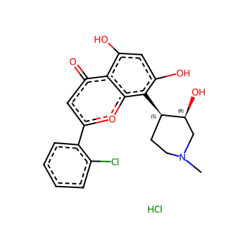 CN1CC[C@@H](c2c(O)cc(O)c3c(=O)cc(-c4ccccc4Cl)oc23)[C@@H](O)C1.Cl